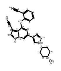 N#Cc1ccccc1Sc1cc(-c2cnn([C@H]3CC[C@@H](O)CC3)c2)cn2ncc(C#N)c12